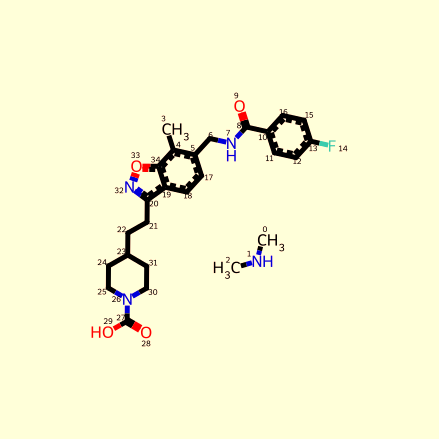 CNC.Cc1c(CNC(=O)c2ccc(F)cc2)ccc2c(CCC3CCN(C(=O)O)CC3)noc12